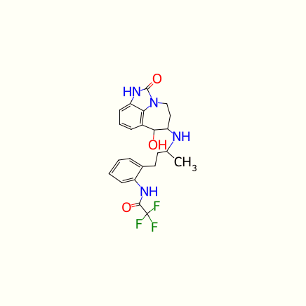 CC(CCc1ccccc1NC(=O)C(F)(F)F)NC1CCn2c(=O)[nH]c3cccc(c32)C1O